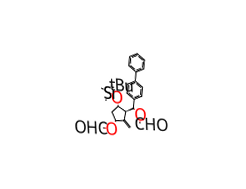 C=C1[C@H](C(OC=O)c2ccc(-c3ccccc3)cc2)[C@@H](O[Si](C)(C)C(C)(C)C)C[C@H]1OC=O